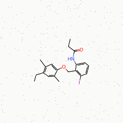 CCC(=O)Nc1cccc(I)c1COc1cc(C)c(CC)cc1C